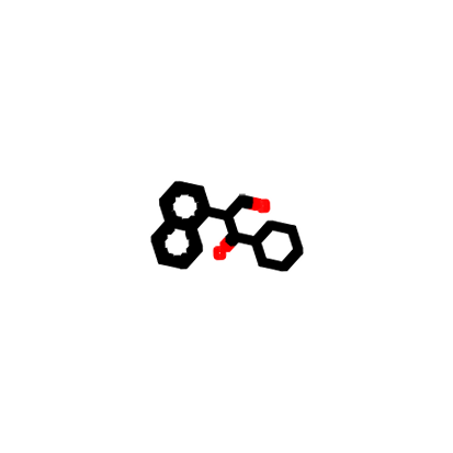 O=[C]C(C(=O)C1CCCCC1)c1cccc2ccccc12